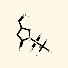 C=CC1CC(=O)N(S(=O)(=O)C(F)(F)F)C1